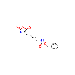 O=C(NCCCCC[C@@H]1NC(=O)OC1=O)OCc1ccccc1